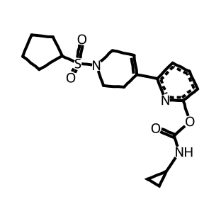 O=C(NC1CC1)Oc1cccc(C2=CCN(S(=O)(=O)C3CCCC3)CC2)n1